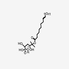 CCCCCCCCC=CCCCCCCCC(=O)OC(C)(C)[C@@H](O)CC(O)P(=O)(O)O